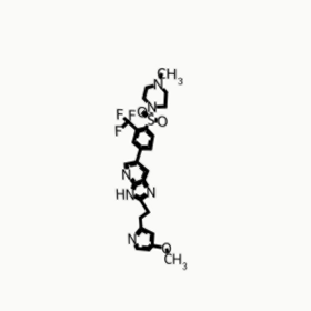 COc1ccnc(CCc2nc3cc(-c4ccc(S(=O)(=O)N5CCN(C)CC5)c(C(F)(F)F)c4)cnc3[nH]2)c1